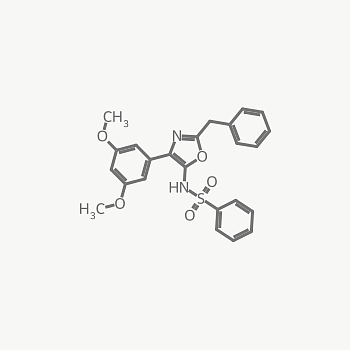 COc1cc(OC)cc(-c2nc(Cc3ccccc3)oc2NS(=O)(=O)c2ccccc2)c1